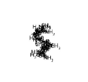 CCCCC(NC(=O)[C@@H]1CCCN1C(=O)[C@@H]1CCCN1C(=O)[C@H](CCCCN)NC(=O)[C@@H](N)[C@@H](C)O)C(=O)N[C@@H](C=O)CCCCNC(=O)[C@H](CCCC)NC(=O)[C@@H]1CCCN1C(=O)[C@@H]1CCCN1C(=O)[C@H](CCCCN)NC(=O)[C@@H](N)[C@@H](C)O